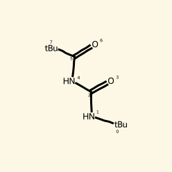 CC(C)(C)NC(=O)NC(=O)C(C)(C)C